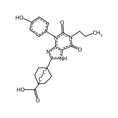 CCCn1c(=O)c2[nH]c(C34CCC(C(=O)O)(CC3)CC4)nc2n(-c2ccc(O)cc2)c1=O